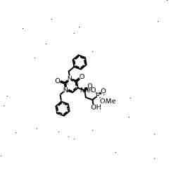 COP(=O)(OC)C(O)CC(=O)c1cn(Cc2ccccc2)c(=O)n(Cc2ccccc2)c1=O